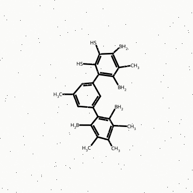 Bc1c(C)c(B)c(-c2cc(C)cc(-c3c(B)c(C)c(C)c(C)c3B)c2)c(S)c1S